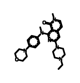 CCN1CCN(c2cc3ccn(C)c(=O)c3c(N(C)c3ccc(N4CCOCC4)cc3)n2)CC1